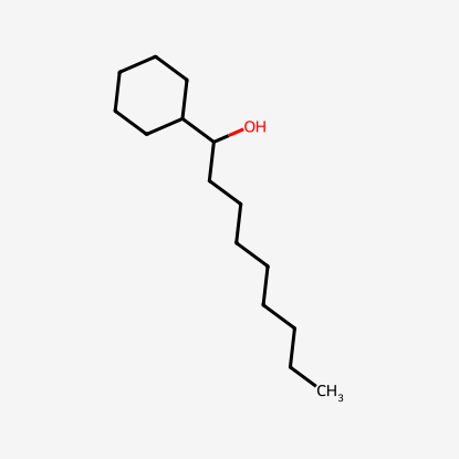 CCCCCCCCC(O)C1CCCCC1